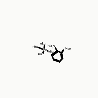 CCCCCCCCCc1ccccc1S(=O)(=O)O.CCCC[PH](CCCC)(CCCC)CCCC